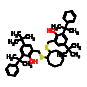 CC(C)(C)c1cc(CSC2CCCCCCC2SCc2cc(C(C)(C)C)cc(C(C)(C)c3ccccc3)c2O)c(O)c(C(C)(C)c2ccccc2)c1